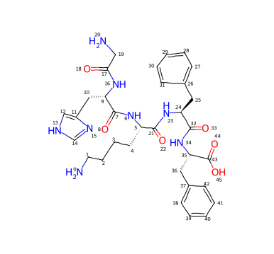 NCCCC[C@H](NC(=O)[C@H](Cc1c[nH]cn1)NC(=O)CN)C(=O)N[C@@H](Cc1ccccc1)C(=O)N[C@@H](Cc1ccccc1)C(=O)O